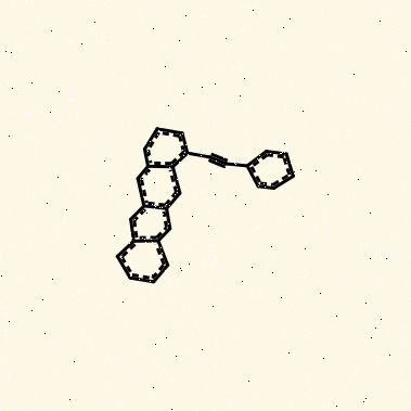 C(#Cc1cccc2cc3cc4ccccc4cc3cc12)c1ccccc1